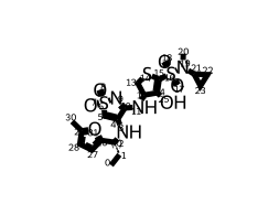 CC[C@@H](NC1=CS(=O)(=O)N=C1NC1CSC(S(=O)(=O)N(C)C2CC2)=C1O)c1ccc(C)o1